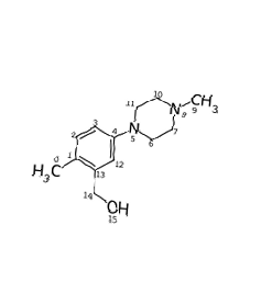 Cc1ccc(N2CCN(C)CC2)cc1CO